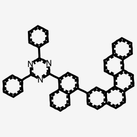 c1ccc(-c2nc(-c3ccccc3)nc(-c3ccc(-c4ccc5ccc6ccc7c8ccccc8ccc7c6c5c4)c4ccccc34)n2)cc1